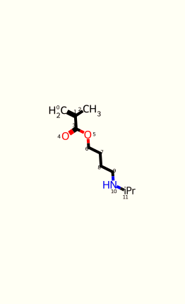 C=C(C)C(=O)OCCCCNC(C)C